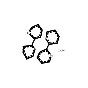 [Co+2].c1ccc(-c2ccccn2)nc1.c1ccc(-c2ccccn2)nc1